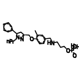 CCCN1N=C(COc2ccc(CNCCCO[PH](=O)O)cc2C)CC1c1ccccc1